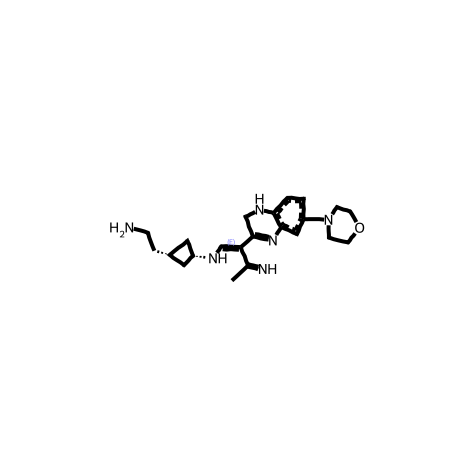 CC(=N)/C(=C\N[C@H]1C[C@@H](CCN)C1)C1=Nc2cc(N3CCOCC3)ccc2NC1